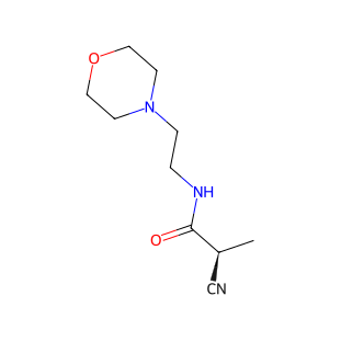 C[C@@H](C#N)C(=O)NCCN1CCOCC1